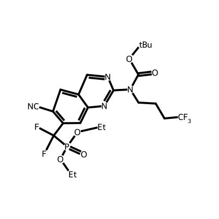 CCOP(=O)(OCC)C(F)(F)c1cc2nc(N(CCCC(F)(F)F)C(=O)OC(C)(C)C)ncc2cc1C#N